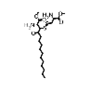 CCCCCCCCCCCC(=O)C(SSC[C@H](N)C(=O)OC)[C@H](N)C(=O)OC